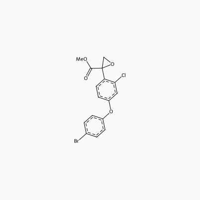 COC(=O)C1(c2ccc(Oc3ccc(Br)cc3)cc2Cl)CO1